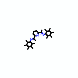 C/C(=N\c1c(C)c(C)c(C)c(C)c1C)c1cccc(/C(C)=N/c2c(C)c(C)c(C)c(C)c2C)n1